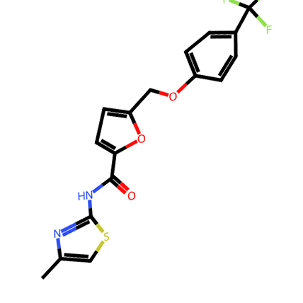 Cc1csc(NC(=O)c2ccc(COc3ccc(C(F)(F)F)cc3)o2)n1